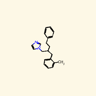 Cc1ccccc1CC(CCc1ccccc1)Cn1ccnc1